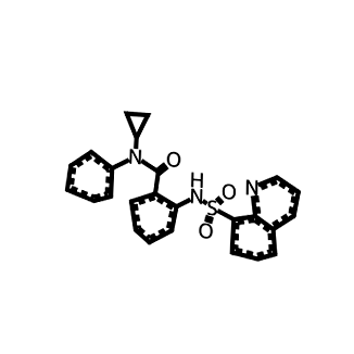 O=C(c1ccccc1NS(=O)(=O)c1cccc2cccnc12)N(c1ccccc1)C1CC1